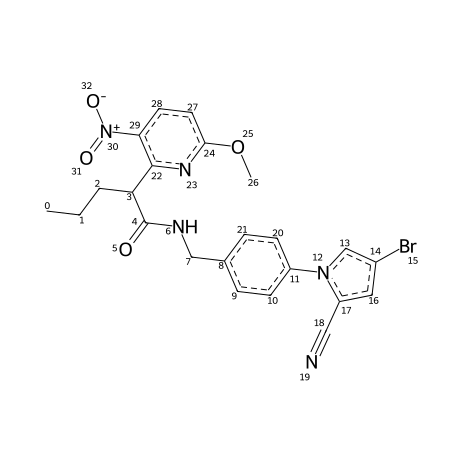 CCCC(C(=O)NCc1ccc(-n2cc(Br)cc2C#N)cc1)c1nc(OC)ccc1[N+](=O)[O-]